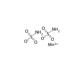 NS(=O)(=O)[O-].NS(=O)(=O)[O-].[Mn+2]